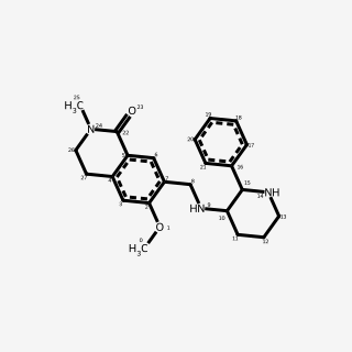 COc1cc2c(cc1CNC1CCCNC1c1ccccc1)C(=O)N(C)CC2